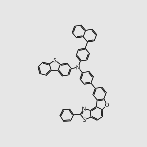 c1ccc(-c2nc3c(ccc4oc5ccc(-c6ccc(N(c7ccc(-c8cccc9ccccc89)cc7)c7ccc8c(c7)sc7ccccc78)cc6)cc5c43)s2)cc1